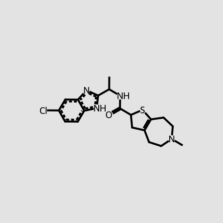 CC(NC(=O)C1CC2=C(CCN(C)CC2)S1)c1nc2cc(Cl)ccc2[nH]1